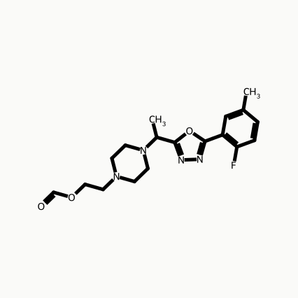 Cc1ccc(F)c(-c2nnc(C(C)N3CCN(CCOC=O)CC3)o2)c1